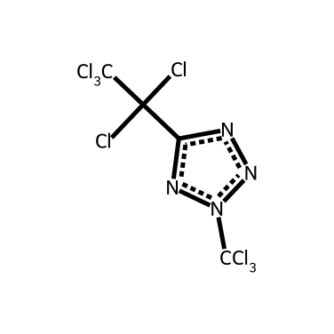 ClC(Cl)(Cl)n1nnc(C(Cl)(Cl)C(Cl)(Cl)Cl)n1